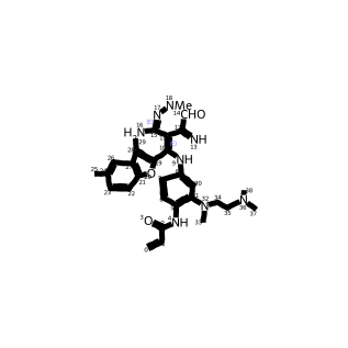 C=CC(=O)Nc1ccc(N/C(=C(C(=N)C=O)/C(N)=N\NC)c2oc3ccc(C)cc3c2C)cc1N(C)CCN(C)C